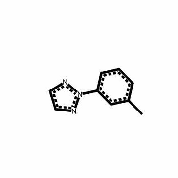 Cc1[c]c(-n2nccn2)ccc1